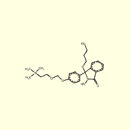 CCCN1C(=O)c2ccccc2C1(OCCCO)c1ccc(OCOCC[Si](C)(C)C)cc1